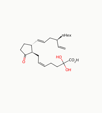 C=C[C@@H](C/C=C/[C@H]1CCC(=O)[C@@H]1C/C=C\CCC(O)(O)C(=O)O)CCCCCC